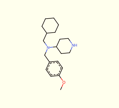 COc1ccc(CN(CC2CCCCC2)C2CCNCC2)cc1